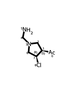 CC(=O)[C@@H]1CN(CN)C[C@@H]1Cl